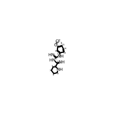 N=C(NC(=N)C1CCCCN1)Nc1cccc(OC(F)(F)F)c1